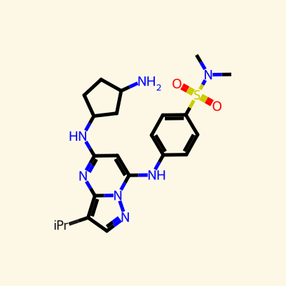 CC(C)c1cnn2c(Nc3ccc(S(=O)(=O)N(C)C)cc3)cc(NC3CCC(N)C3)nc12